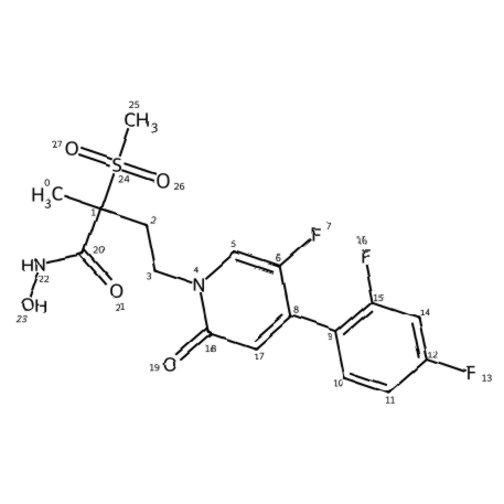 CC(CCn1cc(F)c(-c2ccc(F)cc2F)cc1=O)(C(=O)NO)S(C)(=O)=O